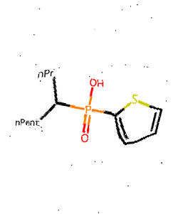 CCCCCC(CCC)P(=O)(O)c1cccs1